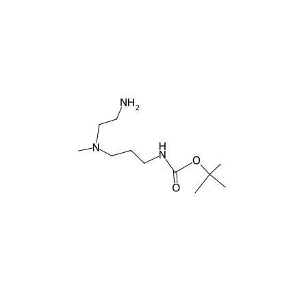 CN(CCN)CCCNC(=O)OC(C)(C)C